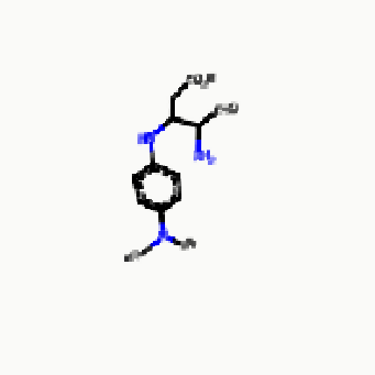 CCCN(CCC)c1ccc(NC(CC(=O)O)[C@H](N)C=O)cc1